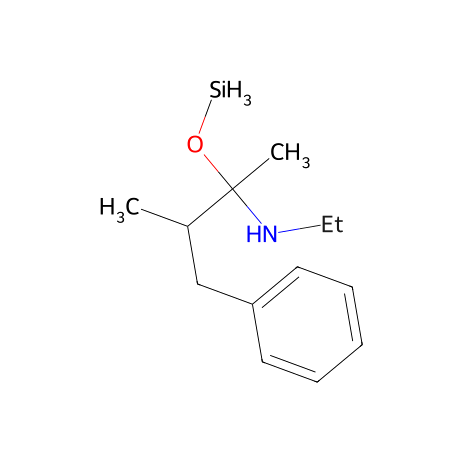 CCNC(C)(O[SiH3])C(C)Cc1ccccc1